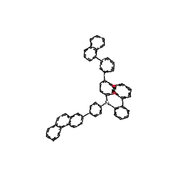 c1ccc(-c2ccccc2N(c2ccc(-c3cccc(-c4cccc5ccccc45)c3)cc2)c2ccc(-c3ccc4c(ccc5ccccc54)c3)cc2)cc1